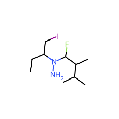 CCC(CI)N(N)C(F)C(C)C(C)C